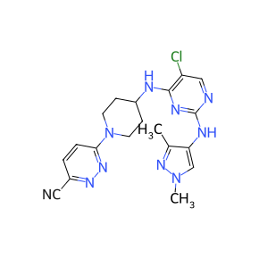 Cc1nn(C)cc1Nc1ncc(Cl)c(NC2CCN(c3ccc(C#N)nn3)CC2)n1